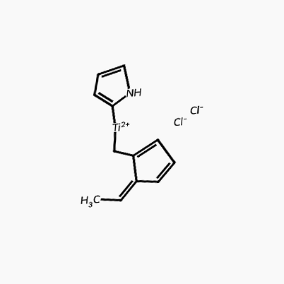 CC=C1C=CC=C1[CH2][Ti+2][c]1ccc[nH]1.[Cl-].[Cl-]